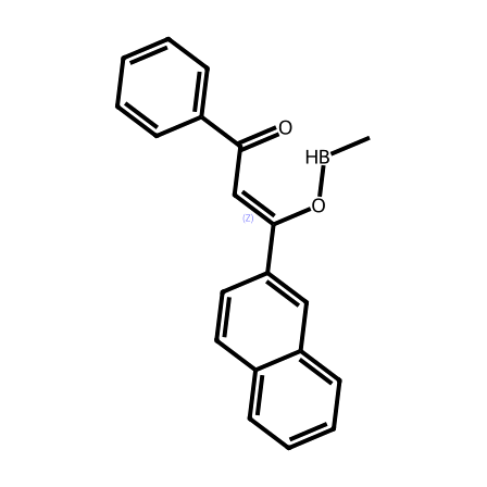 CBO/C(=C\C(=O)c1ccccc1)c1ccc2ccccc2c1